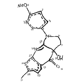 COc1ccc(N2CCC3(O)C(=O)c4cc(C)sc4N=C23)cn1